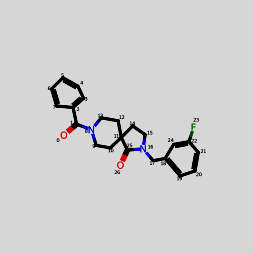 O=C(c1ccccc1)N1CCC2(CC1)CCN(Cc1cccc(F)c1)C2=O